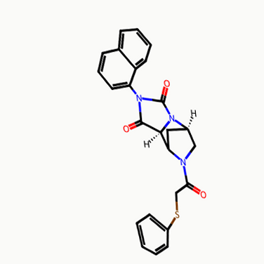 O=C1[C@@H]2C3C[C@H](CN3C(=O)CSc3ccccc3)N2C(=O)N1c1cccc2ccccc12